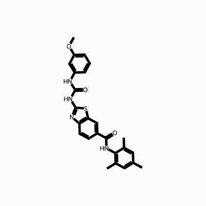 COc1cccc(NC(=O)Nc2nc3ccc(C(=O)Nc4c(C)cc(C)cc4C)cc3s2)c1